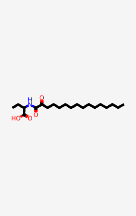 CCCCCCCCCCCCCCC(=O)C(=O)NC(CC)C(=O)O